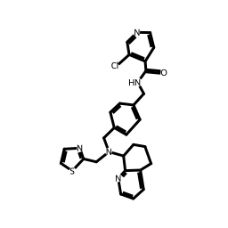 O=C(NCc1ccc(CN(Cc2nccs2)C2CCCc3cccnc32)cc1)c1ccncc1Cl